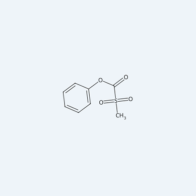 CS(=O)(=O)C(=O)Oc1ccccc1